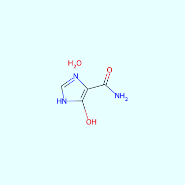 NC(=O)c1nc[nH]c1O.O